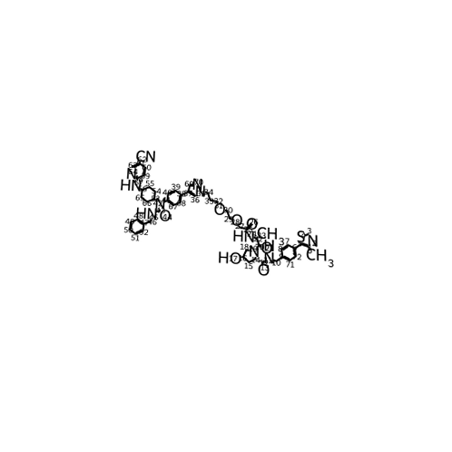 Cc1ncsc1-c1ccc(CNC(=O)[C@@H]2C[C@@H](O)CN2C(=O)[C@H](C)NC(=O)COCCOCCCn2cc(-c3ccc(N(C(=O)NCc4ccccc4)C4CCC(Nc5ccc(C#N)cn5)CC4)cc3)cn2)cc1